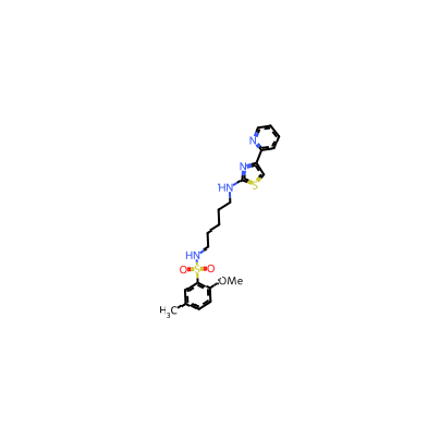 COc1ccc(C)cc1S(=O)(=O)NCCCCCNc1nc(-c2ccccn2)cs1